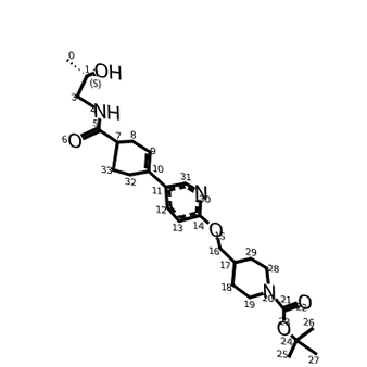 C[C@H](O)CNC(=O)C1CC=C(c2ccc(OCC3CCN(C(=O)OC(C)(C)C)CC3)nc2)CC1